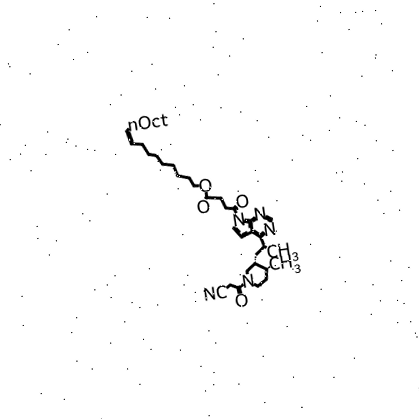 CCCCCCCC/C=C\CCCCCCCCOC(=O)CCC(=O)n1ccc2c(C(C)C[C@H]3CN(C(=O)CC#N)CC[C@H]3C)ncnc21